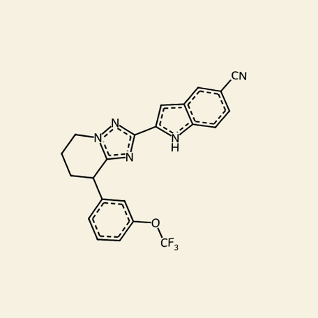 N#Cc1ccc2[nH]c(-c3nc4n(n3)CCCC4c3cccc(OC(F)(F)F)c3)cc2c1